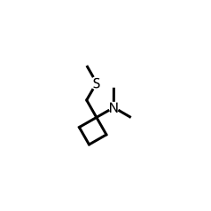 CSCC1(N(C)C)CCC1